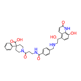 O=C(NCCC(=O)N1CCC(C(=O)O)(c2ccccc2)CC1)c1ccc(CNC[C@H](O)c2ccc(O)c3[nH]c(=O)ccc23)cc1